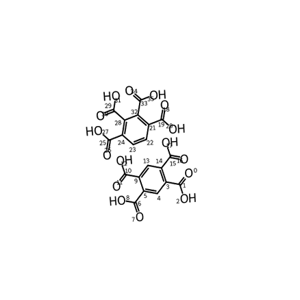 O=C(O)c1cc(C(=O)O)c(C(=O)O)cc1C(=O)O.O=C(O)c1ccc(C(=O)O)c(C(=O)O)c1C(=O)O